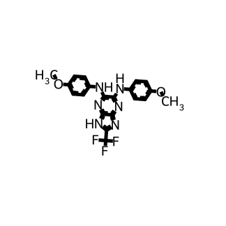 COc1ccc(Nc2nc3nc(C(F)(F)F)[nH]c3nc2Nc2ccc(OC)cc2)cc1